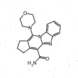 NC(=O)c1c2c(c(N3CCOCC3)n3c1nc1ccccc13)CCC2